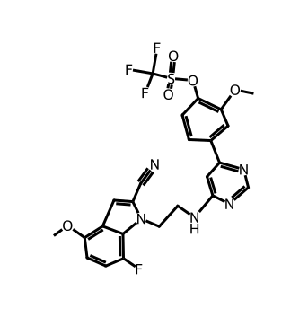 COc1cc(-c2cc(NCCn3c(C#N)cc4c(OC)ccc(F)c43)ncn2)ccc1OS(=O)(=O)C(F)(F)F